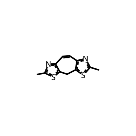 Cc1nc2c(s1)Cc1sc(C)nc1C=C2